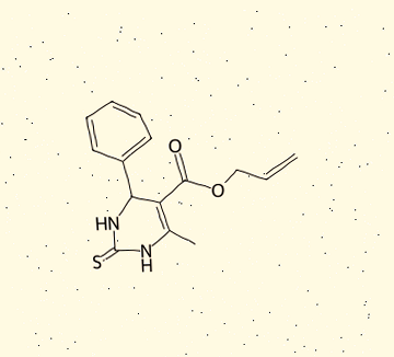 C=CCOC(=O)C1=C(C)NC(=S)NC1c1ccccc1